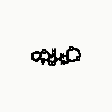 CN1C(=O)[C@@H](NC(=O)c2ncc3c(n2)COCCCOC3)COc2ccccc21